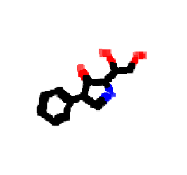 O=C1C(c2ccccc2)C=NC1C(O)CO